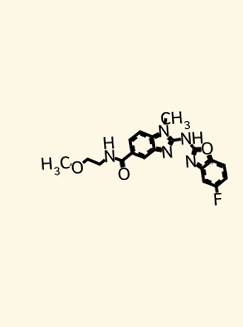 COCCNC(=O)c1ccc2c(c1)nc(Nc1nc3cc(F)ccc3o1)n2C